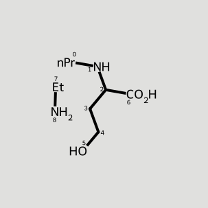 CCCNC(CCO)C(=O)O.CCN